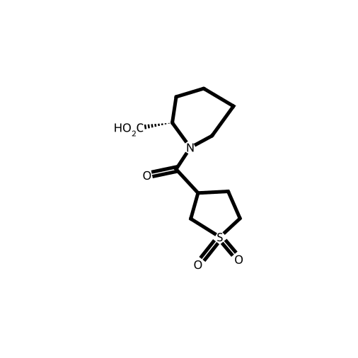 O=C(O)[C@@H]1CCCCN1C(=O)C1CCS(=O)(=O)C1